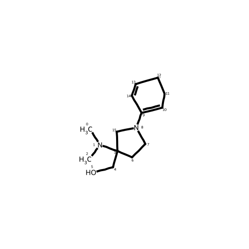 CN(C)C1(CO)CCN(C2=CC[CH]C=C2)C1